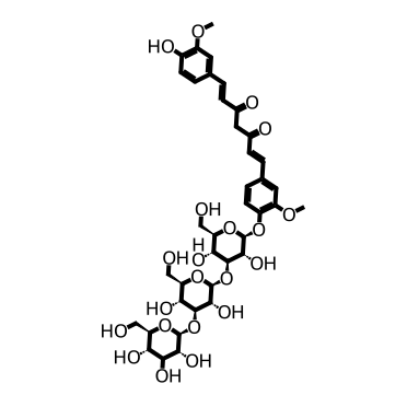 COc1cc(/C=C/C(=O)CC(=O)/C=C/c2ccc(O[C@@H]3O[C@H](CO)[C@@H](O)[C@H](O[C@@H]4O[C@H](CO)[C@@H](O)[C@H](O[C@@H]5O[C@H](CO)[C@@H](O)C(O)[C@H]5O)[C@H]4O)[C@H]3O)c(OC)c2)ccc1O